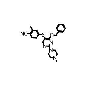 Cc1cc(Sc2cnc(N3CCN(C)CC3)nc2OCc2ccccc2)ccc1C#N